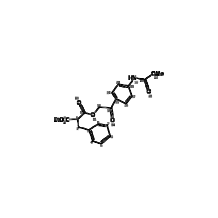 CCOC(=O)C(Cc1ccccc1)C(=O)OCC(=O)c1ccc(NC(=O)OC)cc1